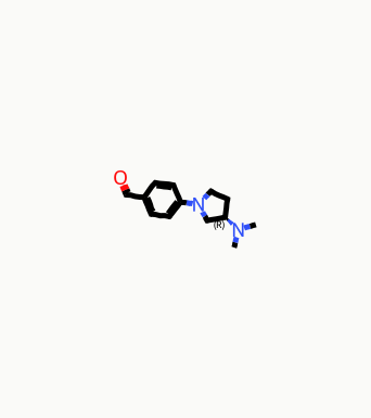 CN(C)[C@@H]1CCN(c2ccc(C=O)cc2)C1